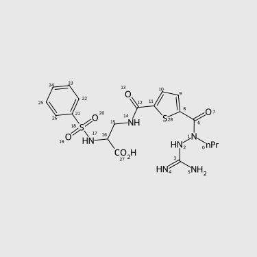 CCCN(NC(=N)N)C(=O)c1ccc(C(=O)NCC(NS(=O)(=O)c2ccccc2)C(=O)O)s1